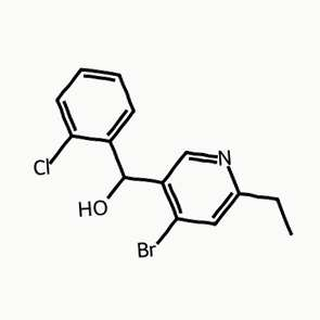 CCc1cc(Br)c(C(O)c2ccccc2Cl)cn1